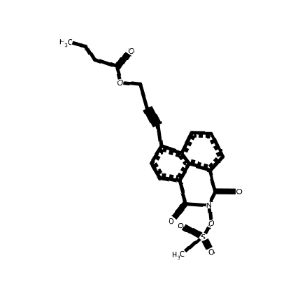 CCCC(=O)OCC#Cc1ccc2c3c(cccc13)C(=O)N(OS(C)(=O)=O)C2=O